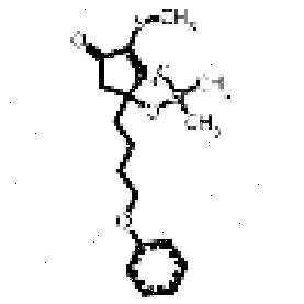 CSC1=CC(CCCCOc2ccccc2)(O[Si](C)(C)C)CC1=O